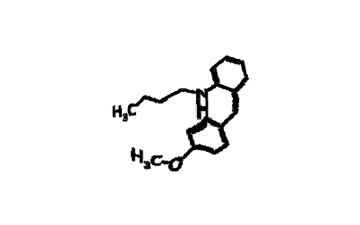 CCCCNC1=CC=CCC1=Cc1ccc(OC)cc1